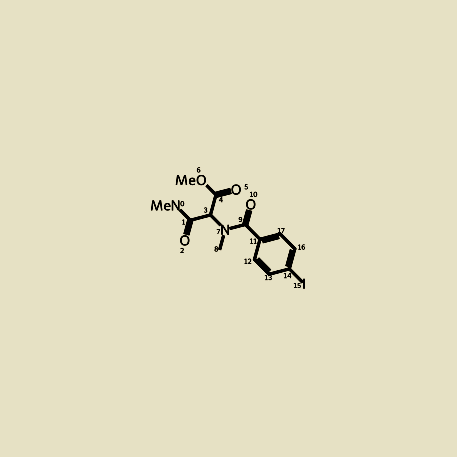 CNC(=O)C(C(=O)OC)N(C)C(=O)c1ccc(I)cc1